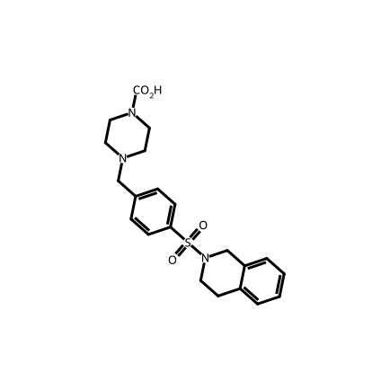 O=C(O)N1CCN(Cc2ccc(S(=O)(=O)N3CCc4ccccc4C3)cc2)CC1